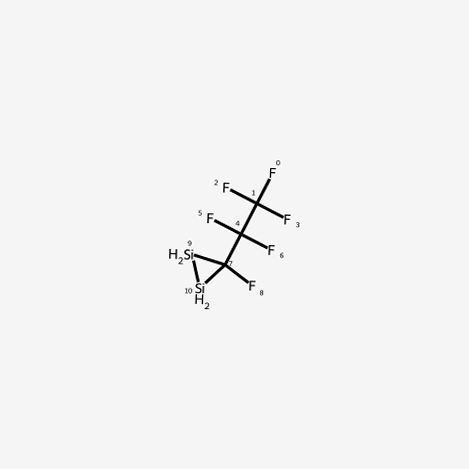 FC(F)(F)C(F)(F)C1(F)[SiH2][SiH2]1